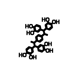 CC(c1ccc(C(C)C(c2ccc(O)c(O)c2)c2ccc(O)c(O)c2)cc1)C(c1ccc(O)c(O)c1)c1ccc(O)c(O)c1